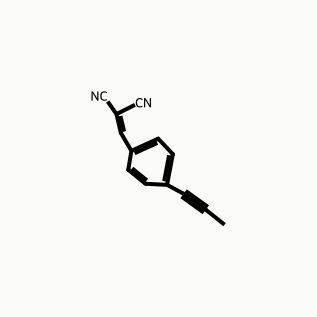 CC#Cc1ccc(C=C(C#N)C#N)cc1